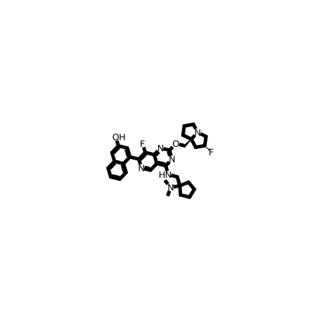 CN(C)C1(CNc2nc(OC[C@@]34CCCN3C[C@H](F)C4)nc3c(F)c(-c4cc(O)cc5ccccc45)ncc23)CCCC1